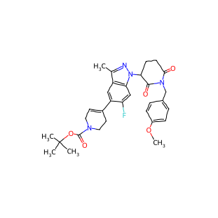 COc1ccc(CN2C(=O)CCC(n3nc(C)c4cc(C5=CCN(C(=O)OC(C)(C)C)CC5)c(F)cc43)C2=O)cc1